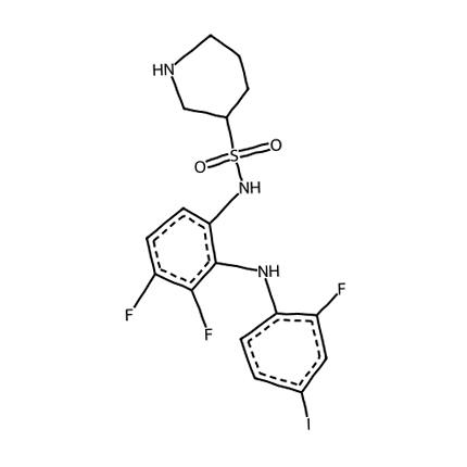 O=S(=O)(Nc1ccc(F)c(F)c1Nc1ccc(I)cc1F)C1CCCNC1